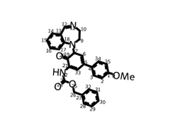 COc1ccc(C2=CC(N3CCN=Cc4ccccc43)C(=O)C(NC(=O)OCc3ccccc3)=C2)cc1